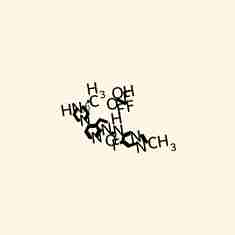 CC[C@@H]1CN(c2ccnc3c2CCN3C(=O)Nc2cn3cc(C)nc3cc2F)CCN1.O=C(O)C(F)(F)F